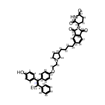 CC/C(=C(\c1ccc(O)cc1)c1ccc(OCCN2CCC(CCCCc3ccc4c(c3)C(=O)N(C3CCC(=O)NC3=O)C4=O)C2)cc1)c1ccccc1